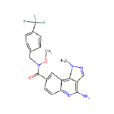 CON(Cc1ccc(C(F)(F)F)cc1)C(=O)c1ccc2nc(N)c3cnn(C)c3c2c1